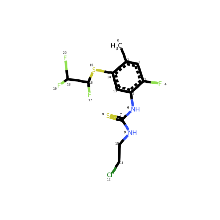 Cc1cc(F)c(NC(=S)NCCCl)cc1SC(F)C(F)F